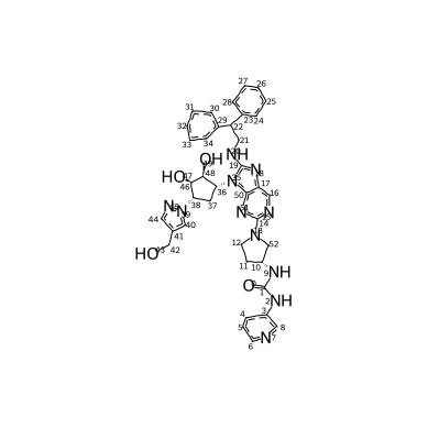 O=C(Nc1cccnc1)N[C@@H]1CCN(c2ncc3nc(NCC(c4ccccc4)c4ccccc4)n([C@@H]4C[C@H](n5cc(CO)cn5)[C@@H](O)[C@H]4O)c3n2)C1